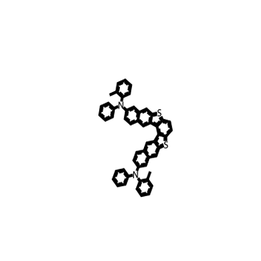 Cc1ccccc1N(c1ccccc1)c1ccc2cc3c(cc2c1)sc1ccc2sc4cc5cc(N(c6ccccc6)c6ccccc6C)ccc5cc4c2c13